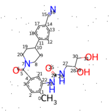 Cc1ccc(C(=O)N2CCC(c3ccc(C#N)cc3)CC2)cc1NC(=O)NCC(O)CO